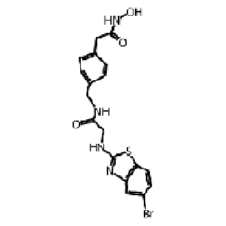 O=C(Cc1ccc(CNC(=O)CNc2nc3cc(Br)ccc3s2)cc1)NO